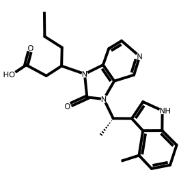 CCCC(CC(=O)O)n1c(=O)n([C@@H](C)c2c[nH]c3cccc(C)c23)c2cnccc21